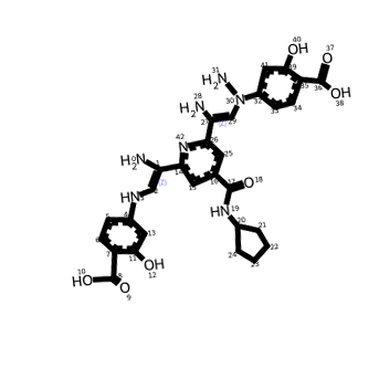 N/C(=C\Nc1ccc(C(=O)O)c(O)c1)c1cc(C(=O)NC2CCCC2)cc(/C(N)=C/N(N)c2ccc(C(=O)O)c(O)c2)n1